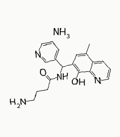 Cc1cc(C(NC(=O)CCCN)c2cccnc2)c(O)c2ncccc12.N